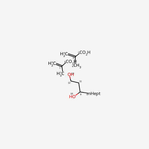 C=C(C)C(=O)O.C=C(C)C(=O)O.CCCCCCCC(O)CCO